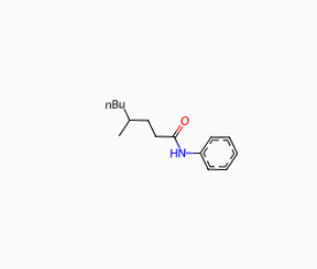 CCCCC(C)CCC(=O)Nc1ccccc1